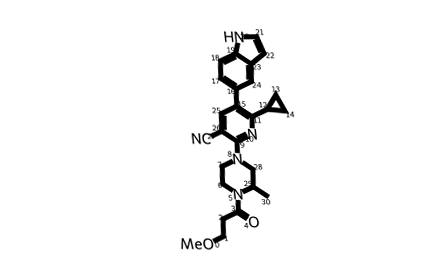 COCCC(=O)N1CCN(c2nc(C3CC3)c(-c3ccc4[nH]ccc4c3)cc2C#N)CC1C